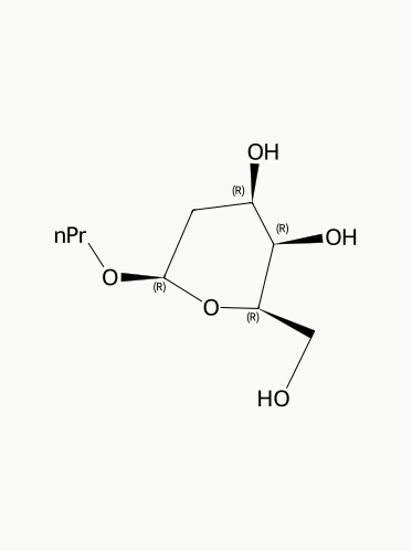 CCCO[C@H]1C[C@@H](O)[C@@H](O)[C@@H](CO)O1